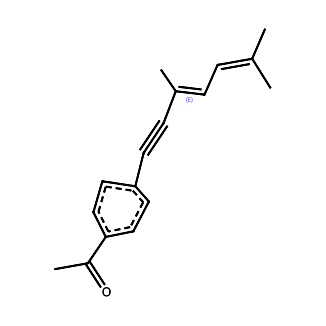 CC(=O)c1ccc(C#C/C(C)=C/C=C(C)C)cc1